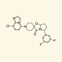 O=C1N2C(CCC2c2cc(F)cc(F)c2)OC12CCN(c1ccc(Cl)c3nccn13)CC2